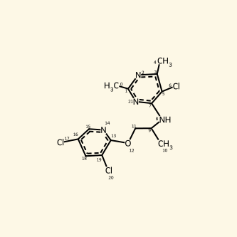 Cc1nc(C)c(Cl)c(NC(C)COc2ncc(Cl)cc2Cl)n1